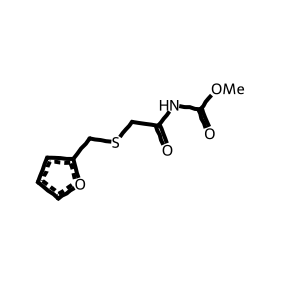 COC(=O)NC(=O)CSCc1ccco1